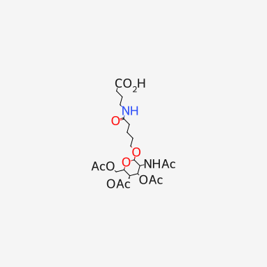 CC(=O)NC1C(OC(C)=O)[C@@H](OC(C)=O)C(COC(C)=O)O[C@H]1OCCCCC(=O)NCCCC(=O)O